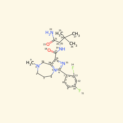 CN1CCCn2c(-c3ccc(F)cc3F)nc(C(=O)N[C@H](C(N)=O)C(C)(C)C)c2C1